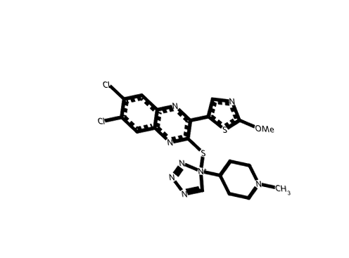 COc1ncc(-c2nc3cc(Cl)c(Cl)cc3nc2S[N+]2(C3CCN(C)CC3)C=NN=N2)s1